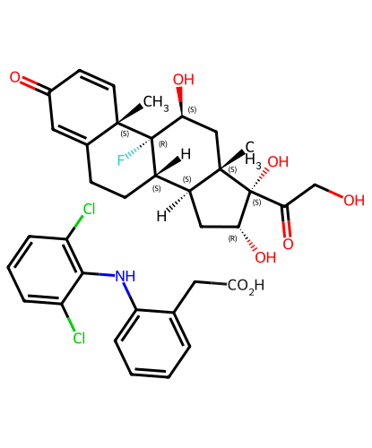 C[C@]12C=CC(=O)C=C1CC[C@H]1[C@@H]3C[C@@H](O)[C@](O)(C(=O)CO)[C@@]3(C)C[C@H](O)[C@@]12F.O=C(O)Cc1ccccc1Nc1c(Cl)cccc1Cl